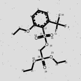 CCOc1cccc(C(F)(F)F)c1S(=O)(=O)OCP(=O)(OCC)OCC